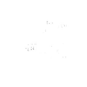 CCCCC(CC)CC(CC(=O)[O-])(C(=O)[O-])S(=O)(=O)[O-].[Na+].[Na+].[Na+]